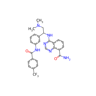 CN(C)CC(Nc1ncnc2c(C(N)=O)cccc12)c1cccc(NC(=O)c2ccc(C(F)(F)F)cc2)c1